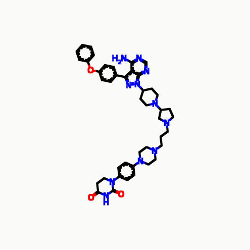 Nc1ncnc2c1c(-c1ccc(Oc3ccccc3)cc1)nn2C1CCN(C2CCN(CCCN3CCN(c4ccc(N5CCC(=O)NC5=O)cc4)CC3)C2)CC1